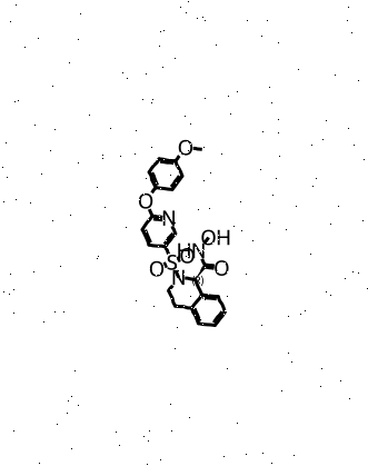 COc1ccc(Oc2ccc(S(=O)(=O)N3CCc4ccccc4[C@@H]3C(=O)NO)cn2)cc1